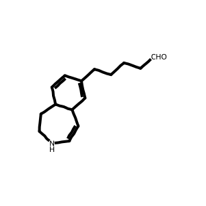 O=CCCCCC1=CC2C=CNCCC2C=C1